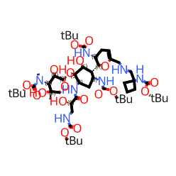 CN(C(=O)OC(C)(C)C)[C@@H]1[C@@H](O)[C@@H](O[C@H]2[C@H](NC(=O)[C@@H](O)CNC(=O)OC(C)(C)C)C[C@H](NC(=O)OC(C)(C)C)C([C@H]3OC(CNCC4(NC(=O)OC(C)(C)C)CCC4)=CC[C@H]3NC(=O)OC(C)(C)C)[C@@H]2O)OC[C@]1(C)O